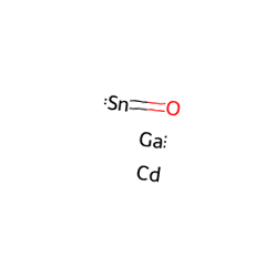 [Cd].[Ga].[O]=[Sn]